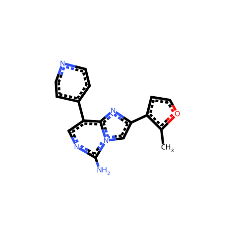 Cc1occc1-c1cn2c(N)ncc(-c3ccncc3)c2n1